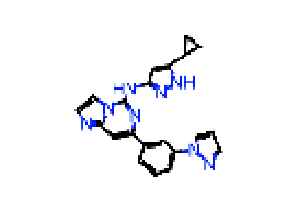 c1cc(-c2cc3nccn3c(Nc3cc(C4CC4)[nH]n3)n2)cc(-n2cccn2)c1